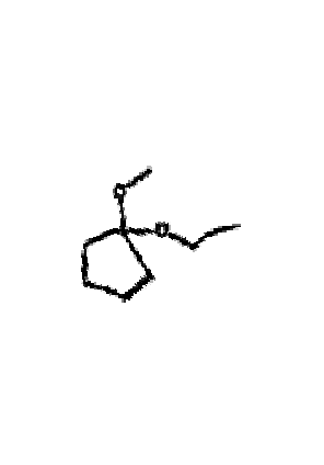 CCOC1(OC)CCCC1